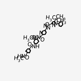 CNC(=O)c1ccc(C(=O)Nc2ccc(NC(=O)c3ccc(-c4noc(-c5cc(C(C)(C)C)n(-c6ccccc6)n5)n4)cn3)c(OC)c2)cc1